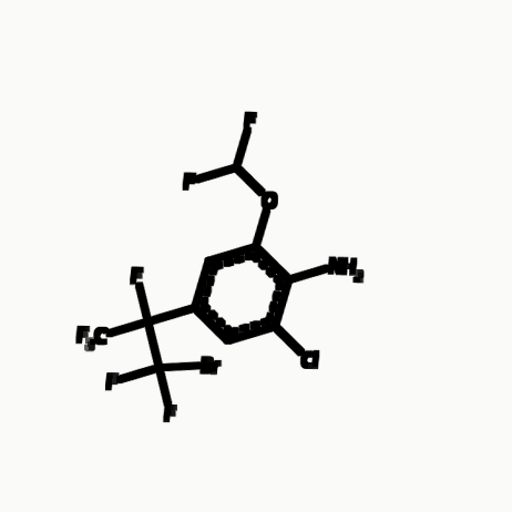 Nc1c(Cl)cc(C(F)(C(F)(F)F)C(F)(F)Br)cc1OC(F)F